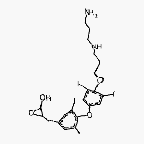 Cc1cc(CC2OC2O)cc(I)c1Oc1cc(I)c(OCCCNCCCN)c(I)c1